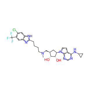 CN(CCCCc1nc2cc(C(F)(F)F)c(Cl)cc2[nH]1)C[C@H]1C[C@@H](n2ccc3c(NC4CC4)ncnc32)[C@H](O)[C@@H]1O